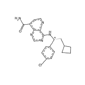 NC(=O)c1ccnc2c(N[C@H](CC3CCC3)c3ccc(Cl)cc3)ncnc12